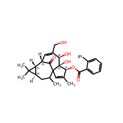 CC1=CC23C(=O)[C@@H](C=C(CO)[C@@H](O)[C@]2(O)[C@H]1OC(=O)c1ccccc1C(C)C)[C@@H]1[C@@H](CC3C)C1(C)C